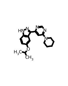 CC(C)Oc1ccc2[nH]nc(-c3cc(N4CCCCC4)ncn3)c2c1